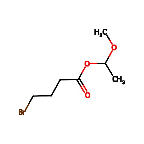 COC(C)OC(=O)CCCBr